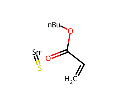 C=CC(=O)OCCCC.[S]=[Sn]